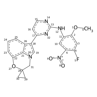 COc1cc(F)c([N+](=O)[O-])cc1Nc1nccc(-c2cn3c4c(cccc24)OC2(CC2)C3)n1